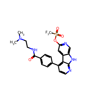 CN(C)CCNC(=O)c1ccc(-c2ccnc3[nH]c4cnc(OS(=O)(=O)C(F)(F)F)cc4c23)cc1